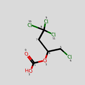 O=C(O)OC(CCl)CC(Cl)(Cl)Cl